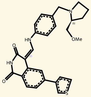 COC[C@@H]1CCCN1Cc1ccc(N/C=C2\C(=O)NC(=O)c3ccc(-c4ccsc4)cc32)cc1